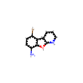 Nc1ccc(Br)c2c1oc1ncccc12